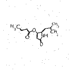 CCCC(=O)OC1=CC(=O)NC1=CC(C)C